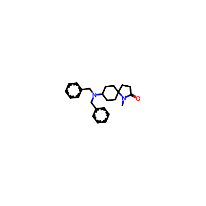 CN1C(=O)CCC12CCC(N(Cc1ccccc1)Cc1ccccc1)CC2